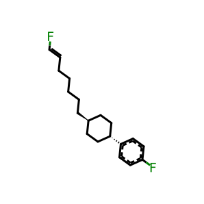 FC=CCCCCC[C@H]1CC[C@H](c2ccc(F)cc2)CC1